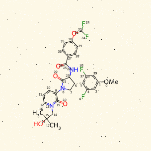 COc1cc(F)c([C@@H]2CN(c3cccn(CC(C)(C)O)c3=O)C(=O)[C@H]2NC(=O)c2ccc(OC(F)F)cc2)c(F)c1